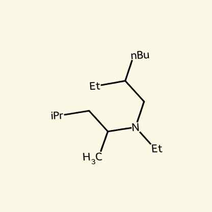 CCCCC(CC)CN(CC)C(C)CC(C)C